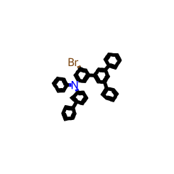 Brc1cc(-c2cc(-c3ccccc3)cc(-c3ccccc3)c2)cc(N(c2ccccc2)c2cccc(-c3ccccc3)c2)c1